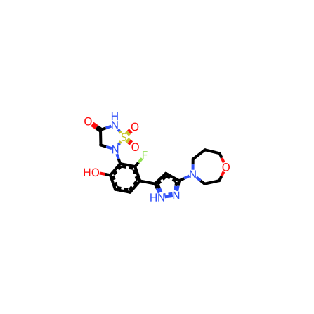 O=C1CN(c2c(O)ccc(-c3cc(N4CCCOCC4)n[nH]3)c2F)S(=O)(=O)N1